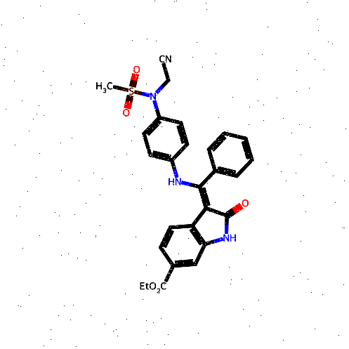 CCOC(=O)c1ccc2c(c1)NC(=O)C2=C(Nc1ccc(N(CC#N)S(C)(=O)=O)cc1)c1ccccc1